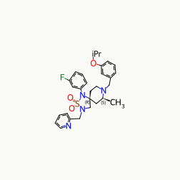 CC(C)Oc1cccc(CN2CC[C@@]3(C[C@@H]2C)CN(Cc2ccccn2)S(=O)(=O)N3c2cccc(F)c2)c1